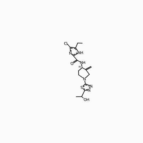 C=C1CN(c2nnc(C(C)O)s2)CC[C@H]1NC(=O)c1nc(Cl)c(CC)[nH]1